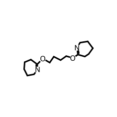 C1CCN=C(OCCCCOC2=NCCCCC2)CC1